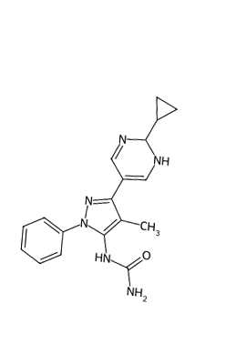 Cc1c(C2=CNC(C3CC3)N=C2)nn(-c2ccccc2)c1NC(N)=O